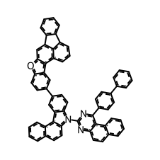 c1ccc(-c2ccc(-c3nc(-n4c5ccc(-c6ccc7oc8cc9c%10c(cccc%10c8c7c6)-c6ccccc6-9)cc5c5c6ccccc6ccc54)nc4ccc5ccccc5c34)cc2)cc1